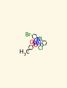 Cc1ccc(S(=O)(=O)n2c(Nc3c(Cl)cccc3Cl)nc3ccc(Br)cc32)cc1